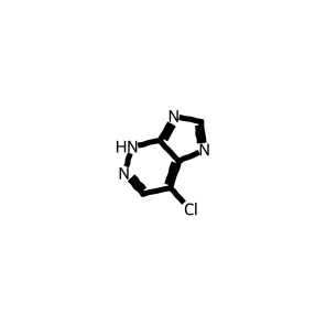 Clc1cn[nH]c2ncnc1-2